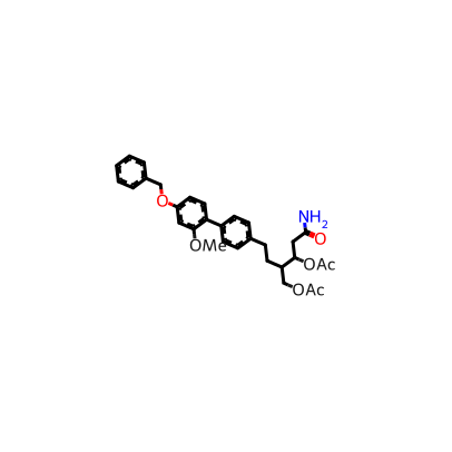 COc1cc(OCc2ccccc2)ccc1-c1ccc(CCC(COC(C)=O)C(CC(N)=O)OC(C)=O)cc1